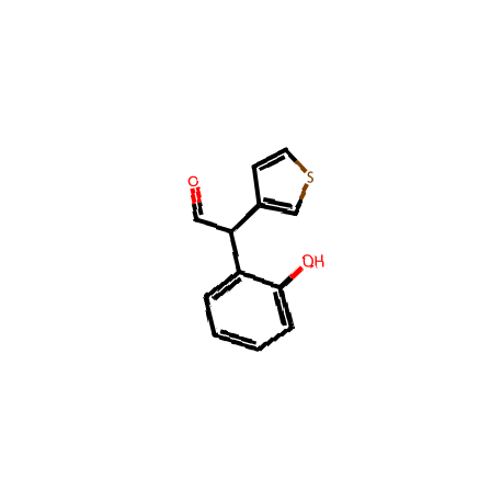 O=CC(c1ccsc1)c1ccccc1O